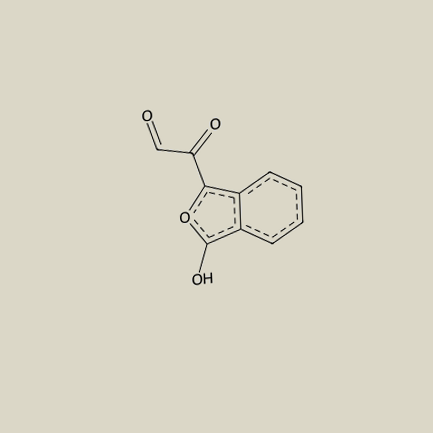 O=CC(=O)c1oc(O)c2ccccc12